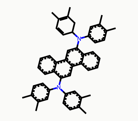 CC1=C(C)CC(N(c2ccc(C)c(C)c2)c2cc3c4ccccc4c(N(c4ccc(C)c(C)c4)c4ccc(C)c(C)c4)cc3c3ccccc23)C=C1